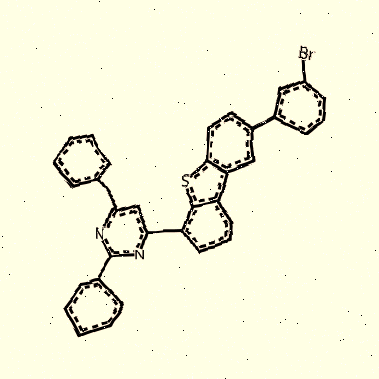 Brc1cccc(-c2ccc3sc4c(-c5cc(-c6ccccc6)nc(-c6ccccc6)n5)cccc4c3c2)c1